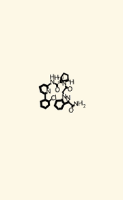 NC(=O)c1nn(CC(=O)N2[C@@H]3CC[C@@H](C3)[C@H]2C(=O)Nc2cccc(-c3ccccc3Cl)n2)c2ccccc12